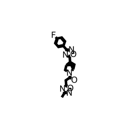 Cc1noc(CC(=O)N2CC3CC2CC3c2nc(-c3ccc(F)cc3)no2)n1